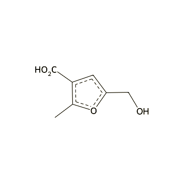 Cc1oc(CO)cc1C(=O)O